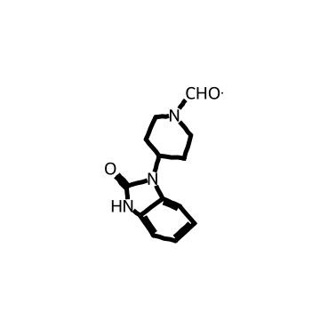 O=[C]N1CCC(n2c(=O)[nH]c3ccccc32)CC1